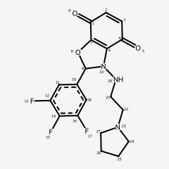 O=C1C=CC(=O)C2=C1OC(c1cc(F)c(F)c(F)c1)N2NCCN1CCCC1